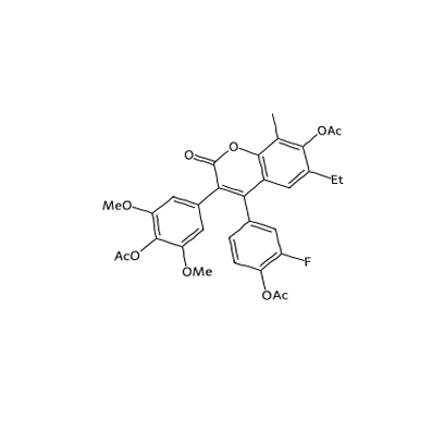 CCc1cc2c(-c3ccc(OC(C)=O)c(F)c3)c(-c3cc(OC)c(OC(C)=O)c(OC)c3)c(=O)oc2c(C)c1OC(C)=O